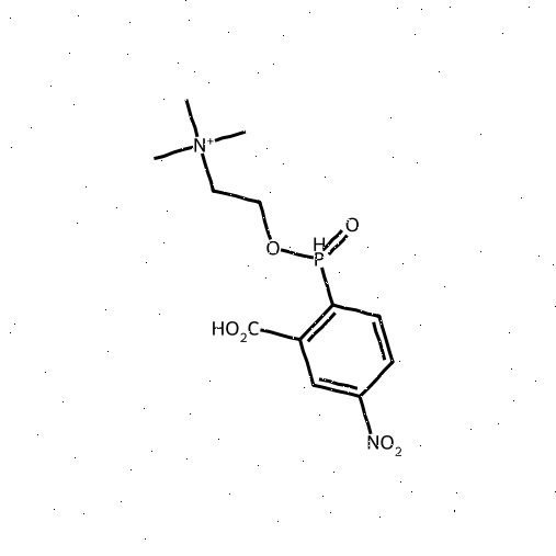 C[N+](C)(C)CCO[PH](=O)c1ccc([N+](=O)[O-])cc1C(=O)O